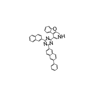 C1=C(c2nc(-c3ccc4ccccc4c3)nc(-c3ccc4cc(-c5ccccc5)ccc4c3)n2)c2c(oc3ccccc23)CN1